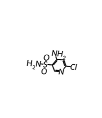 Nc1cc(Cl)ncc1S(N)(=O)=O